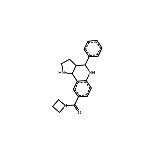 O=C(c1ccc2c(c1)C1NCCC1C(c1ccccc1)N2)N1CCC1